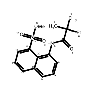 CCC(C)(C)C(=O)Nc1cccc2cccc(S(=O)(=O)OC)c12